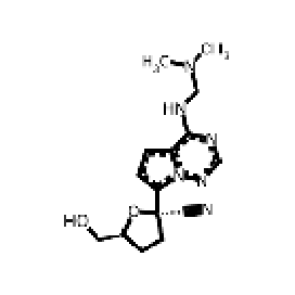 CN(C)CNc1ncnn2c([C@@]3(C#N)CC[C@@H](CO)O3)ccc12